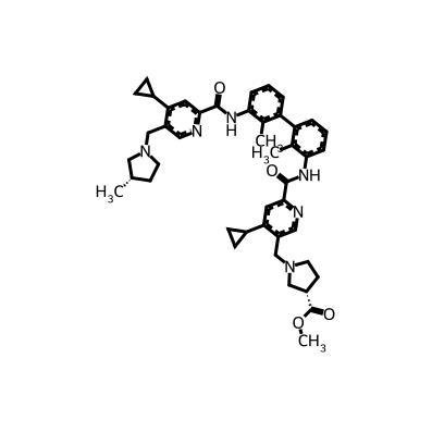 COC(=O)[C@H]1CCN(Cc2cnc(C(=O)Nc3cccc(-c4cccc(NC(=O)c5cc(C6CC6)c(CN6CC[C@H](C)C6)cn5)c4C)c3C)cc2C2CC2)C1